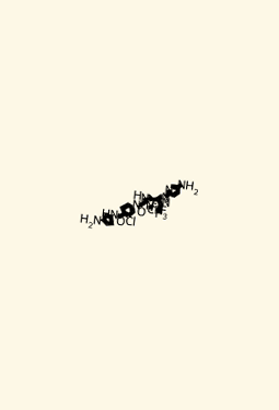 Cn1c(-c2cn(-c3ccc(N)cn3)nc2C(F)(F)F)cnc1C(=O)Nc1ccc(C(=O)N[C@@H]2CC[C@@H](N)C2)c(Cl)c1